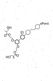 C=C(CO)C(=O)OCCOc1cc(OCCOC(=O)C(C)CO)cc(-c2ccc(C3CCC(CCC4CCC(CCCCC)CC4)CC3)c(CC)c2)c1